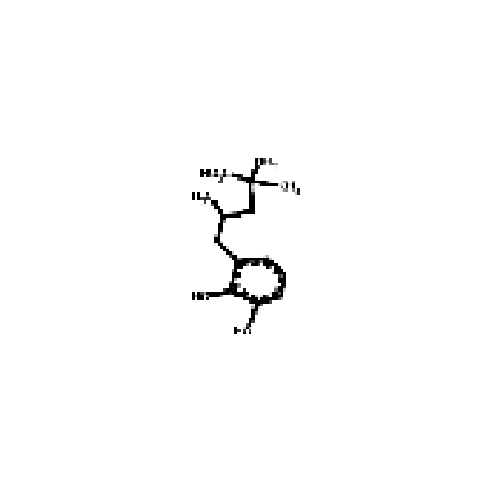 CC(Cc1cccc(O)c1O)CC(C)(N)C(=O)O